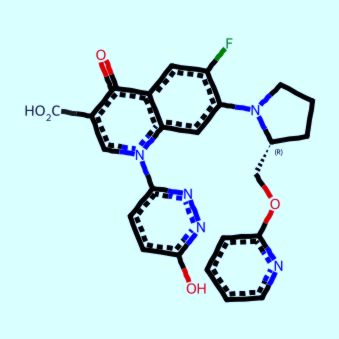 O=C(O)c1cn(-c2ccc(O)nn2)c2cc(N3CCC[C@@H]3COc3ccccn3)c(F)cc2c1=O